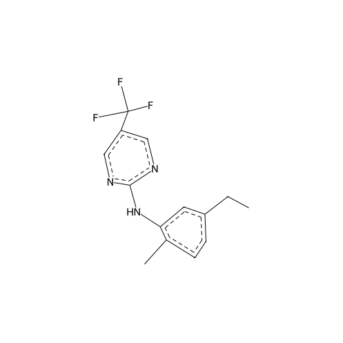 CCc1ccc(C)c(Nc2ncc(C(F)(F)F)cn2)c1